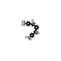 CCN(CC)c1ccc(-c2cc(-c3cccc(-c4cc(-c5ccc(N(CC)CC)cc5)[nH]n4)c3)n[nH]2)cc1